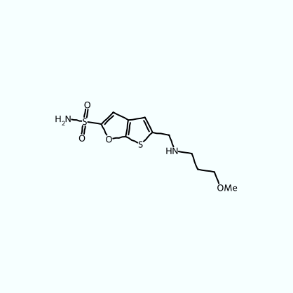 COCCCNCc1cc2cc(S(N)(=O)=O)oc2s1